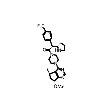 CO[C@@H]1C[C@@H](C)c2c1ncnc2N1CCN(C(=O)[C@@H](c2ccc(C(F)(F)F)cc2)[C@@H]2CCCN2)CC1